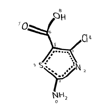 Nc1nc(Cl)c(C(=O)O)s1